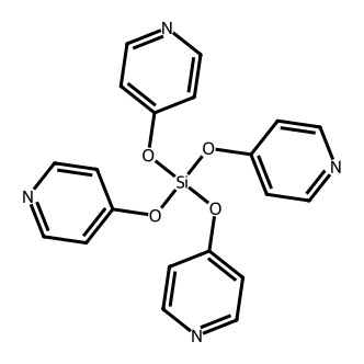 c1cc(O[Si](Oc2ccncc2)(Oc2ccncc2)Oc2ccncc2)ccn1